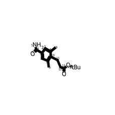 Cc1cc(C(N)=O)cc(C)c1CCC(=O)OC(C)(C)C